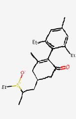 CCc1cc(C)cc(CC)c1C1=C(C)CC(CC(C)[S+]([O-])CC)CC1=O